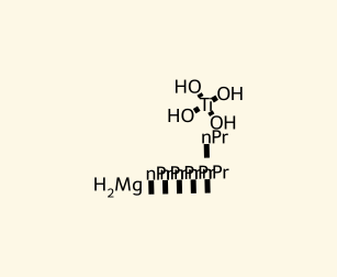 CCCC.CCCC.CCCC.CCCC.CCCC.CCCC.[MgH2].[OH][Ti]([OH])([OH])[OH]